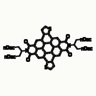 CCCCCCCCCCCC(CCCCCCCCCCC)n1c(=O)c2cc3c4ccsc4c4cc5c(=O)n(C(CCCCCCCCCCC)CCCCCCCCCCC)c(=O)c6cc7c8ccsc8c8cc(c1=O)c2c1c3c4c(c65)c7c81